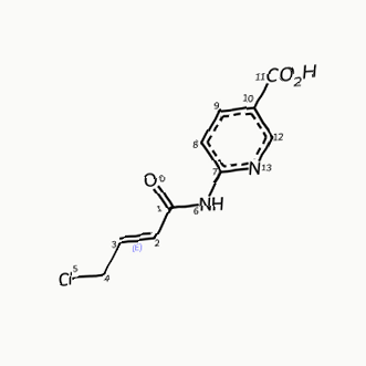 O=C(/C=C/CCl)Nc1ccc(C(=O)O)cn1